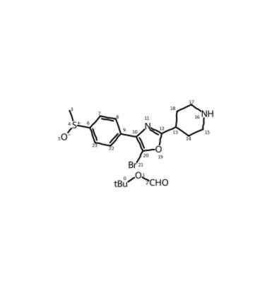 CC(C)(C)OC=O.C[S+]([O-])c1ccc(-c2nc(C3CCNCC3)oc2Br)cc1